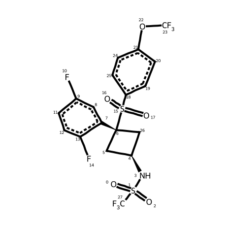 O=S(=O)(N[C@H]1C[C@](c2cc(F)ccc2F)(S(=O)(=O)c2ccc(OC(F)(F)F)cc2)C1)C(F)(F)F